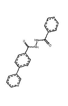 O=C(NNC(=O)c1ccc(-c2cccnc2)cc1)c1ccccc1